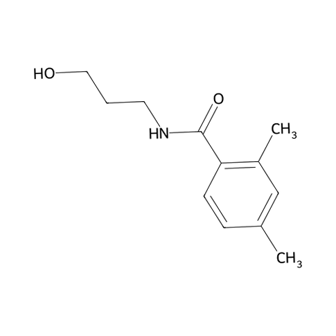 Cc1ccc(C(=O)NCCCO)c(C)c1